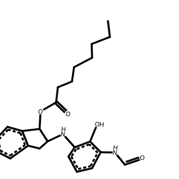 CCCCCCCC(=O)OC1c2ccccc2CC1Nc1cccc(NC=O)c1O